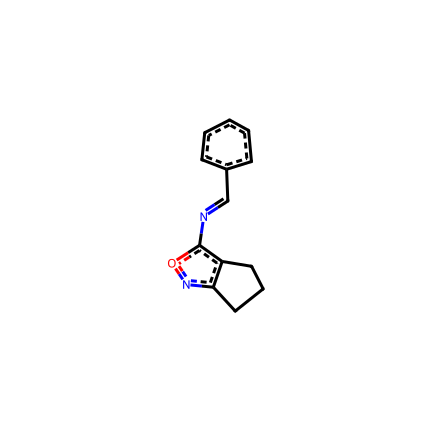 C(=Nc1onc2c1CCC2)c1ccccc1